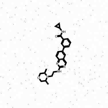 CC1COCC(C)N1CCNc1ncc2cc(-c3cccc(C(=O)NC4CC4)c3)ccc2n1